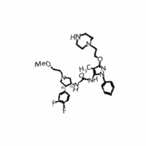 COCCN1C[C@@H](NC(=O)Nc2c(C)c(OCCN3CCNCC3)nn2-c2ccccc2)[C@H](c2ccc(F)c(F)c2)C1